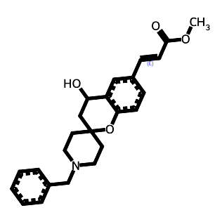 COC(=O)/C=C/c1ccc2c(c1)C(O)CC1(CCN(Cc3ccccc3)CC1)O2